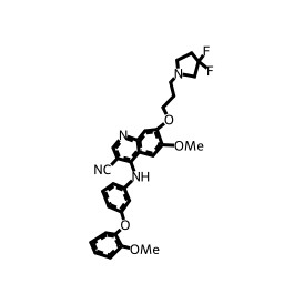 COc1cc2c(Nc3cccc(Oc4ccccc4OC)c3)c(C#N)cnc2cc1OCCCN1CCC(F)(F)C1